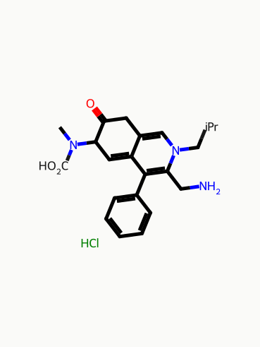 CC(C)CN1C=C2CC(=O)C(N(C)C(=O)O)C=C2C(c2ccccc2)=C1CN.Cl